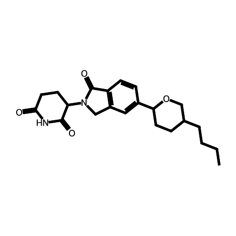 CCCCC1CCC(c2ccc3c(c2)CN(C2CCC(=O)NC2=O)C3=O)OC1